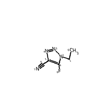 CCn1nnc(C#N)c1F